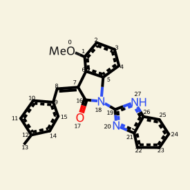 COc1cccc2c1C(=Cc1ccc(C)cc1)C(=O)N2c1nc2ccccc2[nH]1